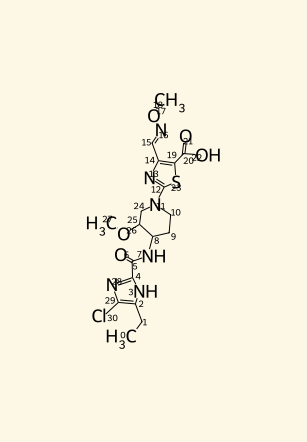 CCc1[nH]c(C(=O)NC2CCN(c3nc(/C=N/OC)c(C(=O)O)s3)CC2OC)nc1Cl